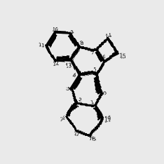 [c]1c2c(cc3c1c1c(c4ccccc43)CC1)=CCCC=2